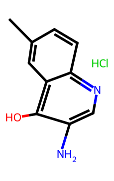 Cc1ccc2ncc(N)c(O)c2c1.Cl